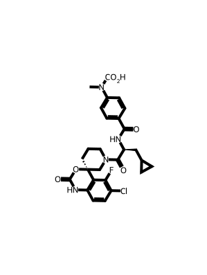 CN(C(=O)O)c1ccc(C(=O)N[C@@H](CC2CC2)C(=O)N2CCC[C@@]3(C2)OC(=O)Nc2ccc(Cl)c(F)c23)cc1